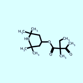 CCC(C)(C(C)=O)C(=O)OC1CC(C)(C)NC(C)(C)C1